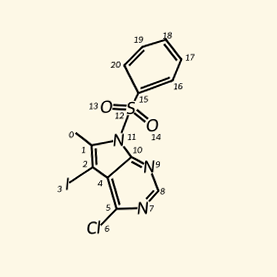 Cc1c(I)c2c(Cl)ncnc2n1S(=O)(=O)c1ccccc1